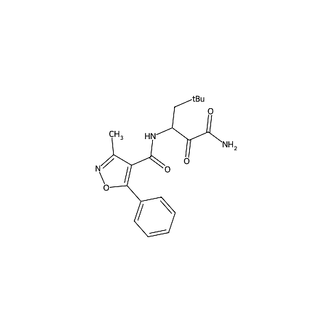 Cc1noc(-c2ccccc2)c1C(=O)NC(CC(C)(C)C)C(=O)C(N)=O